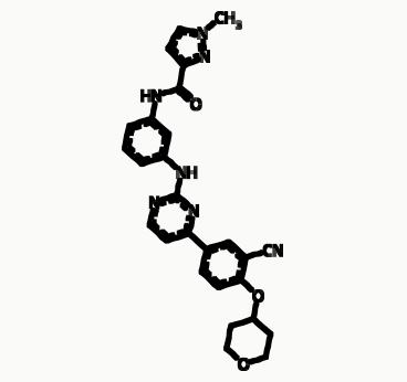 Cn1ccc(C(=O)Nc2cccc(Nc3nccc(-c4ccc(OC5CCOCC5)c(C#N)c4)n3)c2)n1